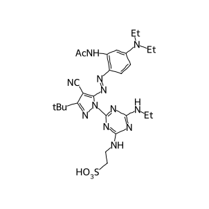 CCNc1nc(NCCS(=O)(=O)O)nc(-n2nc(C(C)(C)C)c(C#N)c2/N=N/c2ccc(N(CC)CC)cc2NC(C)=O)n1